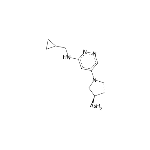 [AsH2][C@@H]1CCN(c2cnnc(NCC3CC3)c2)C1